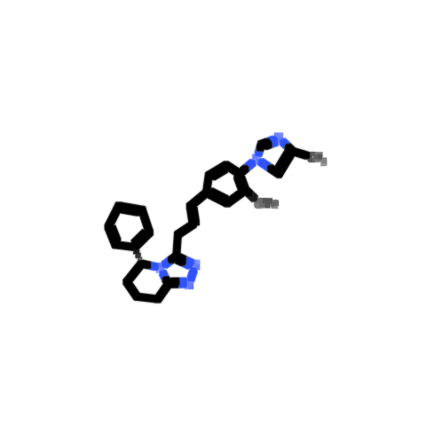 COc1cc(/C=C/Cc2nnc3n2[C@@H](c2ccccc2)CCC3)ccc1-n1cnc(C)c1